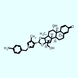 Cc1cn(Cc2ccc(N)cc2)cc1[C@@H]1O[C@@H]2C[C@H]3[C@@H]4CCC5=CC(=O)C=C[C@]5(C)[C@H]4[C@@H](O)C[C@]3(C)[C@]2(C(=O)CO)O1